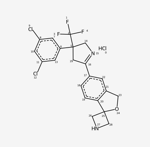 Cl.FC(F)(F)C1(c2cc(Cl)cc(Cl)c2)CN=C(c2ccc3c(c2)COC32CNC2)C1